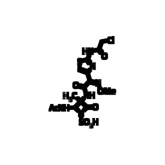 CON=C(C(=O)NC1(C)C(=O)N(S(=O)(=O)O)C1NC(C)=O)c1csc(NC(=O)CCl)n1